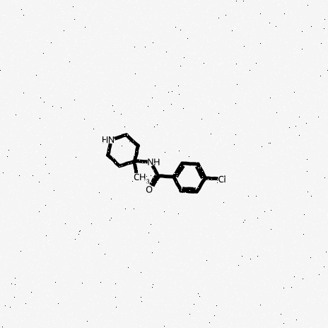 CC1(NC(=O)c2ccc(Cl)cc2)CCNCC1